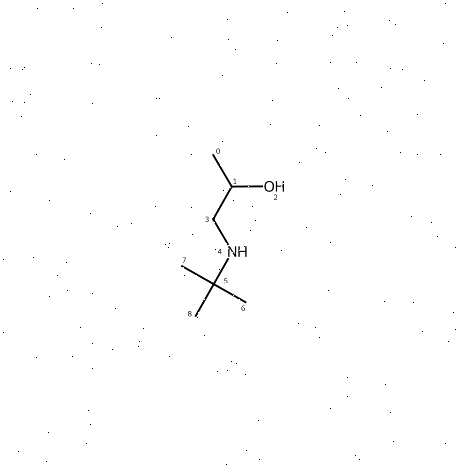 CC(O)CNC(C)(C)C